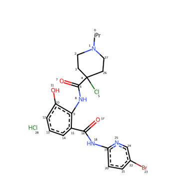 CC(C)N1CCC(Cl)(C(=O)Nc2c(O)cccc2C(=O)Nc2ccc(Br)cn2)CC1.Cl